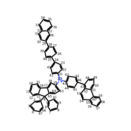 c1ccc(C2(c3ccccc3)c3ccccc3-c3cc(N(c4ccc(-c5ccc(-c6ccc7ccccc7c6)cc5)cc4)c4ccc(-c5cccc6c5ccc5ccccc56)cc4)ccc32)cc1